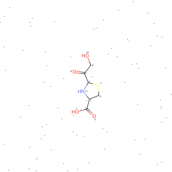 O=C(O)C1CSC(C(=O)CO)N1